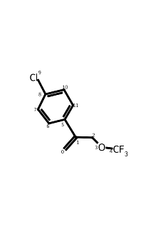 C=C(COC(F)(F)F)c1ccc(Cl)cc1